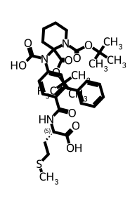 CSCC[C@H](NC(=O)c1ccc(N(C(=O)O)C2(C(=O)OC(C)(C)C)CCCCN2C(=O)OC(C)(C)C)cc1-c1ccccc1)C(=O)O